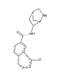 O=C(NC1CC2CNC1C2)c1ccc2cccc(Cl)c2c1